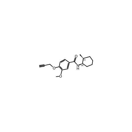 C#CCOc1ccc(C(=O)N[C@@H]2CCCC[C@@H]2C)cc1OC